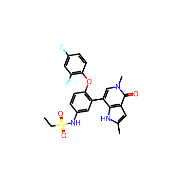 CCS(=O)(=O)Nc1ccc(Oc2ccc(F)cc2F)c(-c2cn(C)c(=O)c3cc(C)[nH]c23)c1